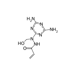 C=CC(=O)NN(CO)c1nc(N)nc(N)n1